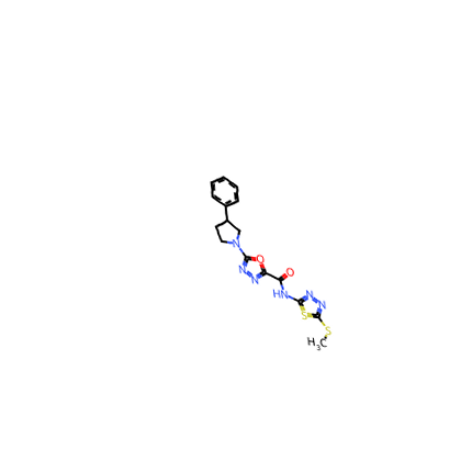 CSc1nnc(NC(=O)c2nnc(N3CCC(c4ccccc4)C3)o2)s1